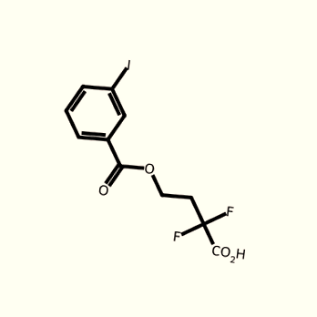 O=C(OCCC(F)(F)C(=O)O)c1cccc(I)c1